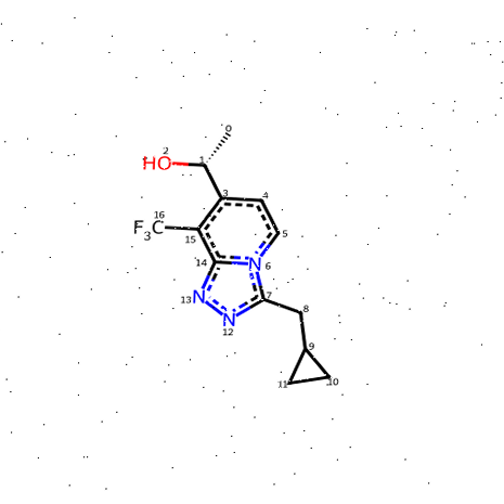 C[C@@H](O)c1ccn2c(CC3CC3)nnc2c1C(F)(F)F